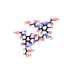 CN(CC(O)C(O)CN(C)C(=O)c1c(I)c(NC(=O)CO)c(I)c(C(=O)NCC(O)CO)c1I)C(=O)c1c(I)c(NC(=O)CO)c(I)c(C(=O)NCC(O)CO)c1I